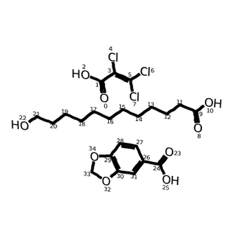 O=C(O)C(Cl)=C(Cl)Cl.O=C(O)CCCCCCCCCCCO.O=C(O)c1ccc2c(c1)OCO2